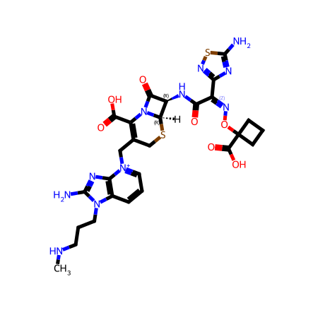 CNCCCn1c(N)nc2c1ccc[n+]2CC1=C(C(=O)O)N2C(=O)[C@@H](NC(=O)/C(=N\OC3(C(=O)O)CCC3)c3nsc(N)n3)[C@H]2SC1